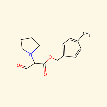 Cc1ccc(COC(=O)C(C=O)N2CCCC2)cc1